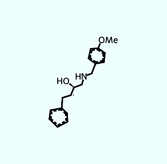 COc1ccc(CNC[C@H](O)[CH]Cc2ccccc2)cc1